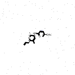 C=CC[C@H]1O[C@H](C)[C@H](NC(=O)/C=C\[C@H](C)OC(C)=O)C=C1C